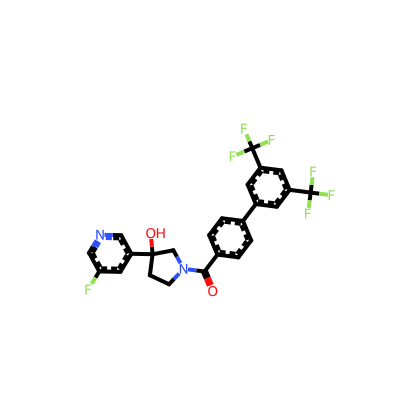 O=C(c1ccc(-c2cc(C(F)(F)F)cc(C(F)(F)F)c2)cc1)N1CCC(O)(c2cncc(F)c2)C1